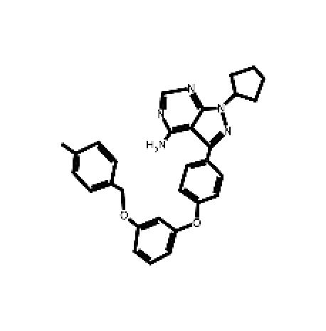 Cc1ccc(COc2cccc(Oc3ccc(-c4nn(C5CCCC5)c5ncnc(N)c45)cc3)c2)cc1